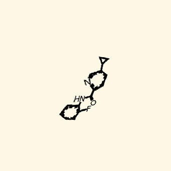 O=C(Nc1ccccc1F)c1ccc(C2CC2)cn1